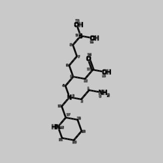 NCCN(CC(CCCB(O)O)CC(=O)O)CC1CCCCN1